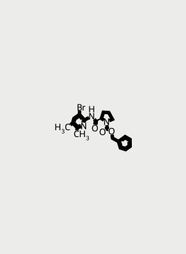 Cc1cc(Br)c(NC(=O)[C@H]2CCCN2C(=O)OCc2ccccc2)nc1C